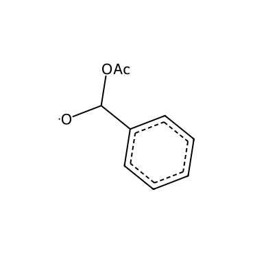 CC(=O)OC([O])c1ccccc1